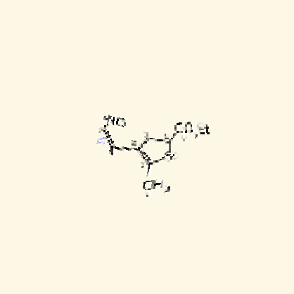 CCOC(=O)C1CC(/C=C\N=O)=C(C)S1